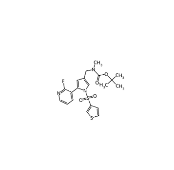 CN(Cc1cc(-c2cccnc2F)n(S(=O)(=O)c2ccsc2)c1)C(=O)OC(C)(C)C